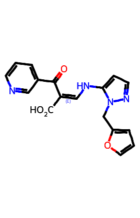 O=C(O)/C(=C/Nc1ccnn1Cc1ccco1)C(=O)c1cccnc1